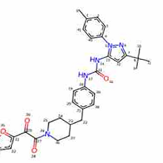 Cc1ccc(-n2nc(C(C)(C)C)cc2NC(=O)Nc2ccc(CC3CCN(C(=O)C(=O)c4ccco4)CC3)cc2)cc1